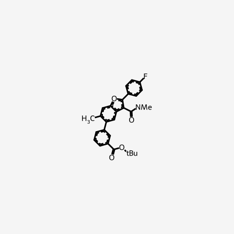 CNC(=O)c1c(-c2ccc(F)cc2)oc2cc(C)c(-c3cccc(C(=O)OC(C)(C)C)c3)cc12